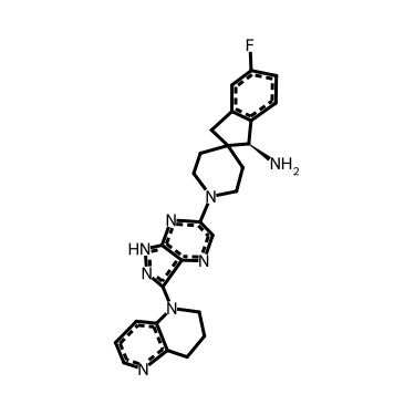 N[C@@H]1c2ccc(F)cc2CC12CCN(c1cnc3c(N4CCCc5ncccc54)n[nH]c3n1)CC2